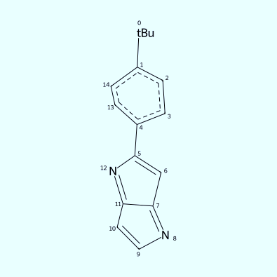 CC(C)(C)c1ccc(C2=CC3=NC=CC3=N2)cc1